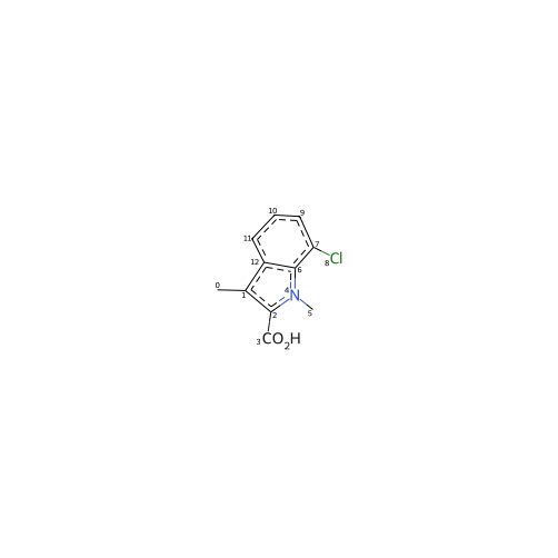 Cc1c(C(=O)O)n(C)c2c(Cl)cccc12